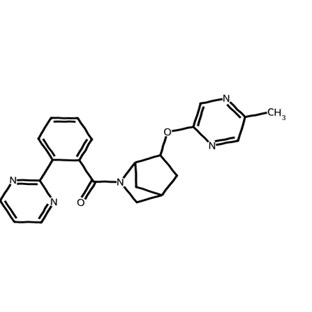 Cc1cnc(OC2CC3CC2N(C(=O)c2ccccc2-c2ncccn2)C3)cn1